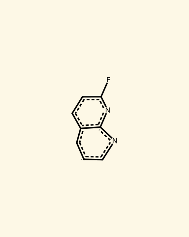 Fc1ccc2c[c]cnc2n1